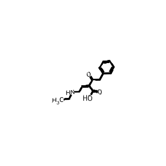 CCNCC=C(C(=O)O)C(=O)Cc1ccccc1